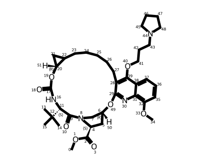 COC(=O)[C@@H]1C[C@@H]2CN1C(=O)[C@H](C(C)(C)C)NC(=O)O[C@@H]1CC1CCCCCc1c(nc3c(OC)cccc3c1OCCCN1CCCC1)O2